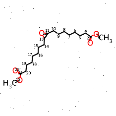 COC(=O)CCCCCCCC1OC1CCCCCCCC(=O)OC